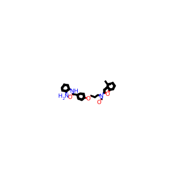 Cc1cccc2oc(N(C=O)CCCOc3ccc(C(=O)Nc4ccccc4N)cc3)cc12